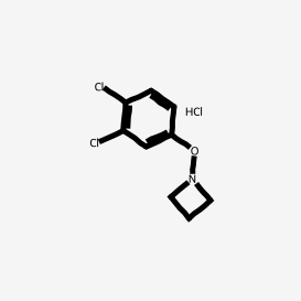 Cl.Clc1ccc(ON2CCC2)cc1Cl